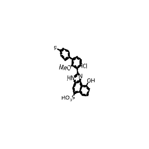 COc1c(-c2ccc(F)cc2)cccc1-c1nc2c(cc(S(=O)(=O)O)c3cccc(O)c32)[nH]1.Cl